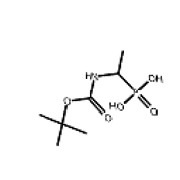 CC(NC(=O)OC(C)(C)C)P(=O)(O)O